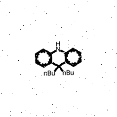 CCCCC1(CCCC)c2ccccc2Nc2ccccc21